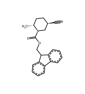 C[C@@H]1CC[C@@H](C#N)CN1C(=O)OCC1c2ccccc2-c2ccccc21